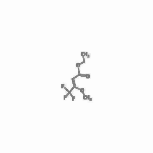 CCOC(=O)C=C(OC)C(F)(F)F